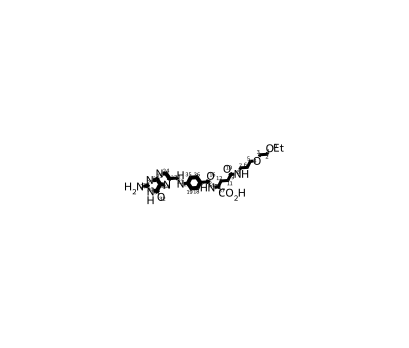 CCOCCOCCCNC(=O)CC[C@@H](NC(=O)c1ccc(NCc2cnc3nc(N)[nH]c(=O)c3n2)cc1)C(=O)O